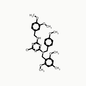 COc1ccc(CN(Cc2c(OC)cc(C)cc2OC)c2nc(Cl)nc(NCc3ccc(OC)c(OC)c3)n2)cc1